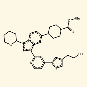 CC(C)(C)OC(=O)N1CCC(c2ccc3c(c2)c(-c2nccc(-n4cc(CCO)cn4)n2)nn3C2CCCCO2)CC1